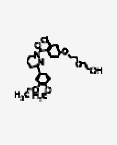 CCOc1cc(C2=NN(C(=O)c3ccc(OCCOCCO)cc3Cl)CCC2)ccc1OC